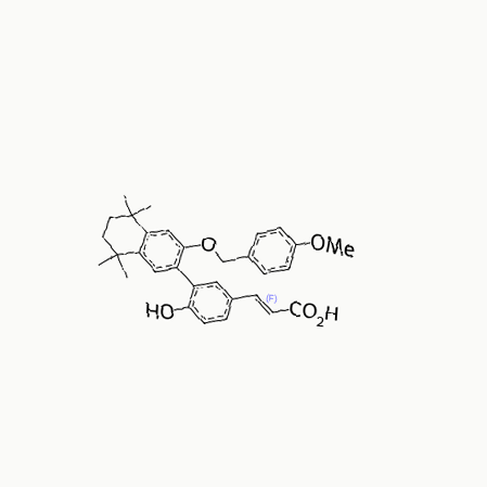 COc1ccc(COc2cc3c(cc2-c2cc(/C=C/C(=O)O)ccc2O)C(C)(C)CCC3(C)C)cc1